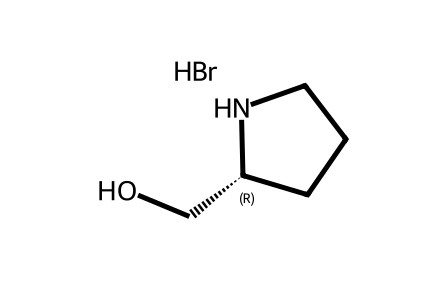 Br.OC[C@H]1CCCN1